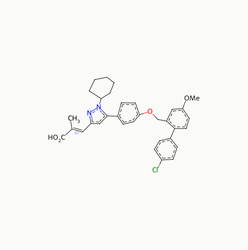 COc1ccc(-c2ccc(Cl)cc2)c(COc2ccc(-c3cc(/C=C(\C)C(=O)O)nn3C3CCCCC3)cc2)c1